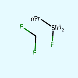 CCC[SiH2]F.FCF